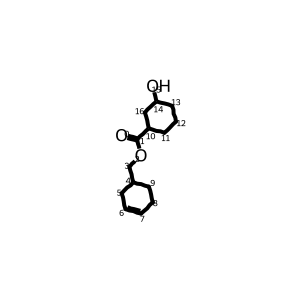 O=C(OCC1CC=CCC1)C1CCCC(O)C1